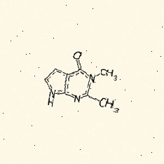 Cc1nc2[nH]ccc2c(=O)n1C